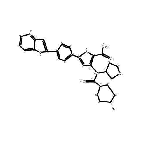 COC(=O)c1sc(-c2ccc(-c3cc4ncccc4o3)cc2)cc1N(C(=O)[C@H]1CC[C@H](C)CC1)C1CCOC1